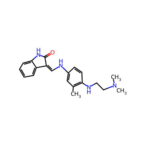 Cc1cc(NC=C2C(=O)Nc3ccccc32)ccc1NCCN(C)C